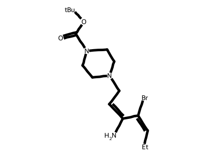 CC/C=C(Br)\C(N)=C/CN1CCN(C(=O)OC(C)(C)C)CC1